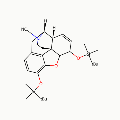 CC(C)(C)[Si](C)(C)Oc1ccc2c3c1OC1C(O[Si](C)(C)C(C)(C)C)C=C[C@H]4[C@@H](C2)N(C#N)CC[C@]314